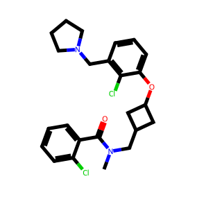 CN(CC1CC(Oc2cccc(CN3CCCC3)c2Cl)C1)C(=O)c1ccccc1Cl